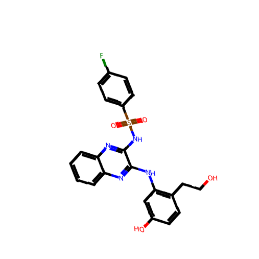 O=S(=O)(Nc1nc2ccccc2nc1Nc1cc(O)ccc1CCO)c1ccc(F)cc1